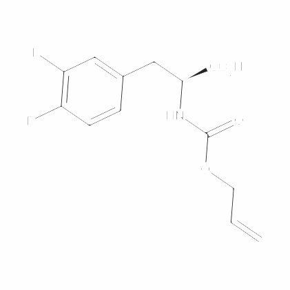 C=CCOC(=O)N[C@@H](Cc1ccc(F)c(F)c1)C(=O)O